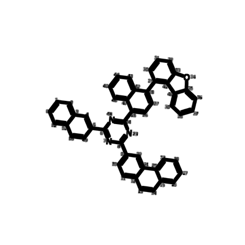 c1ccc2cc(-c3nc(-c4ccc5ccc6ccccc6c5c4)nc(-c4ccc(-c5cccc6oc7ccccc7c56)c5ccccc45)n3)ccc2c1